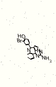 C/C=C\C1=C(C)N=C(c2ccc(O)c(Br)c2)c2ccn3nc(N)nc1c23